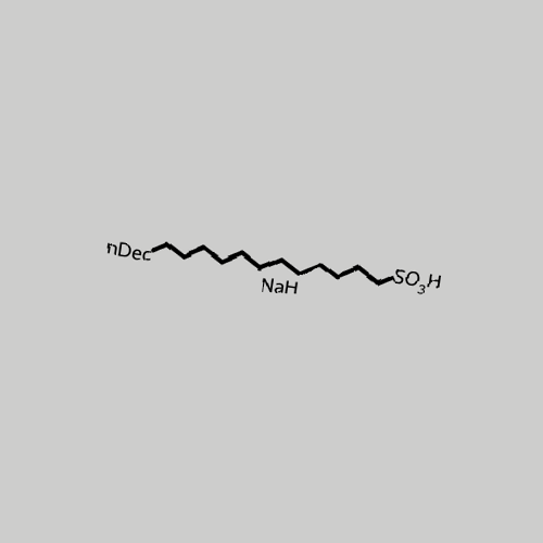 CCCCCCCCCCCCCCCCCCCCCCS(=O)(=O)O.[NaH]